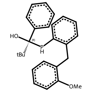 COc1ccccc1Cc1ccccc1P[C@@](O)(c1ccccc1)C(C)(C)C